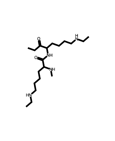 CCNCCCCC(NC(=O)C(CCCCNCC)NC)C(=O)CC